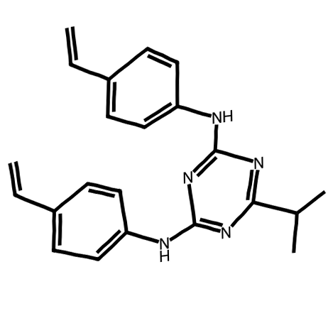 C=Cc1ccc(Nc2nc(Nc3ccc(C=C)cc3)nc(C(C)C)n2)cc1